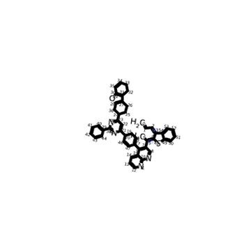 C=C/C=c1\c(=C(/C)c2cnc3ncccc3c2C2=CCC(c3cc(C4CCc5c(oc6c5CCC=C6)C4)nc(-c4ccccc4)n3)C=C2)sc2ccccc12